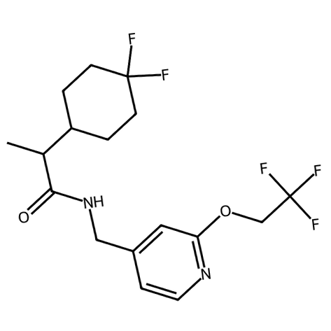 CC(C(=O)NCc1ccnc(OCC(F)(F)F)c1)C1CCC(F)(F)CC1